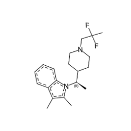 Cc1c(C)n([C@H](C)C2CCN(CC(C)(F)F)CC2)c2ccccc12